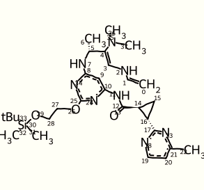 C=CN/C=C(/[C@@H](C)Nc1cc(NC(=O)[C@H]2C[C@@H]2c2nccc(C)n2)nc(OCCO[Si](C)(C)C(C)(C)C)n1)N(C)C